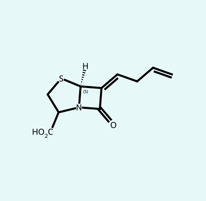 C=CCC=C1C(=O)N2C(C(=O)O)CS[C@@H]12